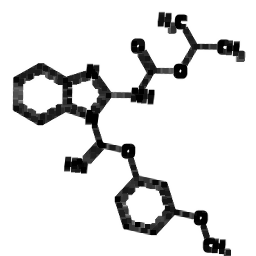 COc1cccc(OC(=N)n2c(NC(=O)OC(C)C)nc3ccccc32)c1